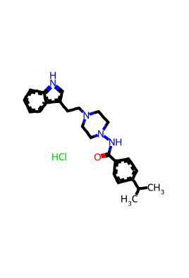 CC(C)c1ccc(C(=O)NN2CCN(CCc3c[nH]c4ccccc34)CC2)cc1.Cl